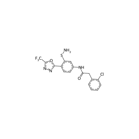 NSc1cc(NC(=O)Cc2ccccc2Cl)ccc1-c1nnc(C(F)(F)F)o1